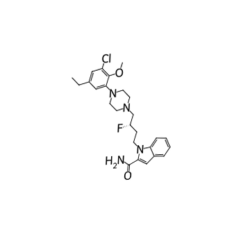 CCc1cc(Cl)c(OC)c(N2CCN(C[C@@H](F)CCn3c(C(N)=O)cc4ccccc43)CC2)c1